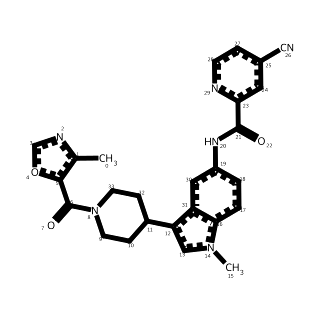 Cc1ncoc1C(=O)N1CCC(c2cn(C)c3ccc(NC(=O)c4cc(C#N)ccn4)cc23)CC1